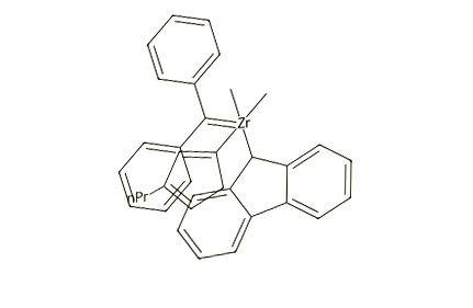 CCCC1=CC[C]([Zr]([CH3])([CH3])(=[C](c2ccccc2)c2ccccc2)[CH]2c3ccccc3-c3ccccc32)=C1